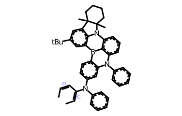 C/C=C\C(=C/C)N(c1ccccc1)c1ccc2c(c1)N(c1ccccc1)c1cccc3c1B2c1cc(C(C)(C)C)cc2c1N3C1(C)CCCCC21C